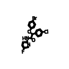 O=C(Nc1ccc(F)cn1)C(Oc1ccc(Br)cc1)c1ccc(Cl)cc1